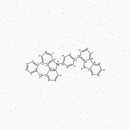 c1ccc2c(c1)oc1cccc3c1c1c2cccc1n3-c1ccc(-c2cccc3c2sc2ccccc23)cc1